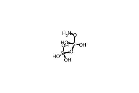 NO[Si](O)(O)O[Si](O)(O)O